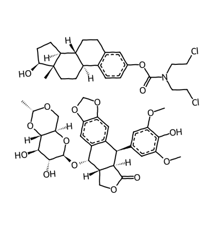 COc1cc([C@@H]2c3cc4c(cc3[C@@H](O[C@@H]3O[C@@H]5CO[C@@H](C)O[C@H]5[C@H](O)[C@H]3O)[C@H]3COC(=O)[C@H]23)OCO4)cc(OC)c1O.C[C@]12CC[C@@H]3c4ccc(OC(=O)N(CCCl)CCCl)cc4CC[C@H]3[C@@H]1CC[C@@H]2O